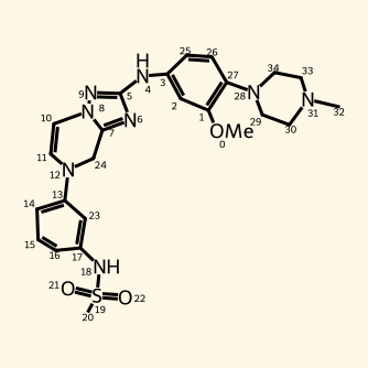 COc1cc(Nc2nc3n(n2)C=CN(c2cccc(NS(C)(=O)=O)c2)C3)ccc1N1CCN(C)CC1